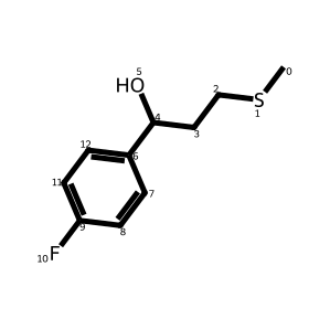 CSCCC(O)c1ccc(F)cc1